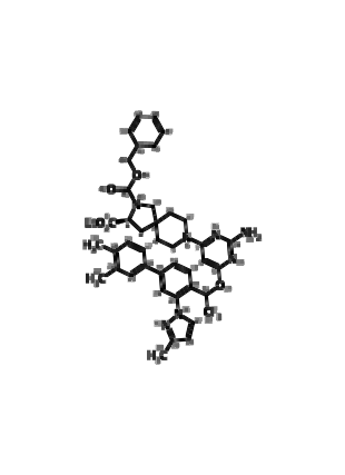 CCOC(=O)[C@@H]1CC2(CCN(c3cc(OC(c4ccc(-c5ccc(C)c(C)c5)cc4-n4ccc(C)n4)C(F)(F)F)nc(N)n3)CC2)CN1C(=O)OCc1ccccc1